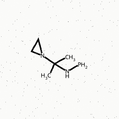 CC(C)(NP)N1CC1